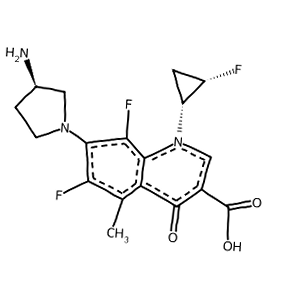 Cc1c(F)c(N2CC[C@@H](N)C2)c(F)c2c1c(=O)c(C(=O)O)cn2[C@@H]1C[C@@H]1F